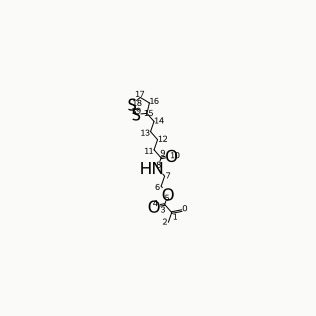 C=C(C)C(=O)OCCNC(=O)CCCCC1CCSS1